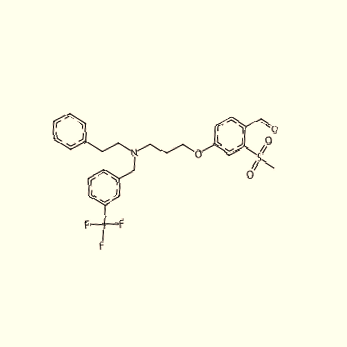 CS(=O)(=O)c1cc(OCCCN(CCc2ccccc2)Cc2cccc(C(F)(F)F)c2)ccc1C=O